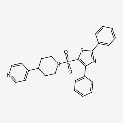 O=S(=O)(c1sc(-c2ccccc2)nc1-c1ccccc1)N1CCC(c2ccncc2)CC1